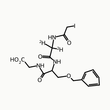 [2H]C([2H])(NC(=O)CI)C(=O)NC(COCc1ccccc1)C(=O)NCC(=O)O